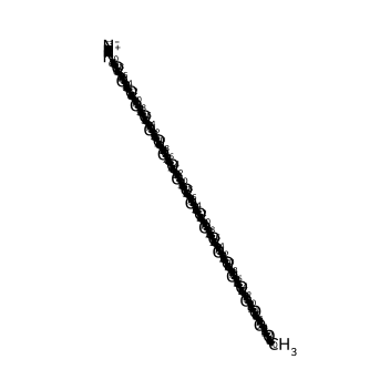 CCOCCOCCOCCOCCOCCOCCOCCOCCOCCOCCOCCOCCOCCOCCOCCOCCOCCOCCOCCOCCOCCOCCOCCN=[N+]=[N-]